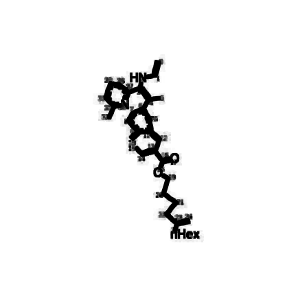 C=CN/C(=C(\C)c1ccc(=C)/c(=C\C(=C/C)C(=O)OCCCCC(=C)CCCCCC)c1)c1cccc(C)n1